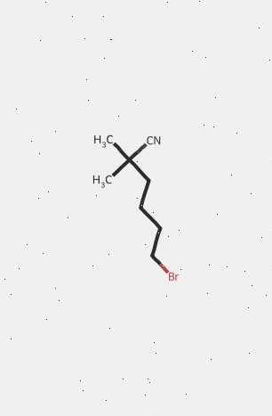 CC(C)(C#N)CCCCBr